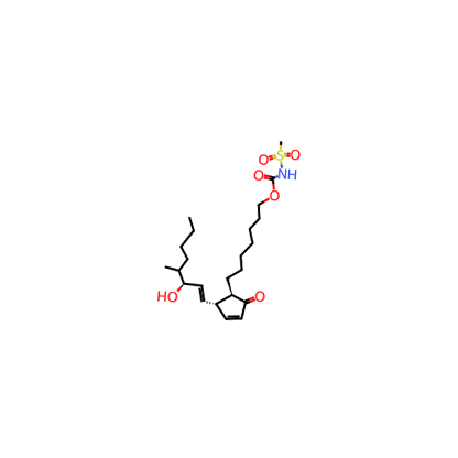 CCCCC(C)[C@H](O)C=C[C@H]1C=CC(=O)[C@@H]1CCCCCCCOC(=O)NS(C)(=O)=O